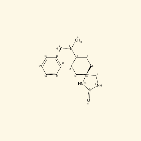 CN(C)C1CC[C@]2(CNC(=O)N2)CC1c1ccccc1